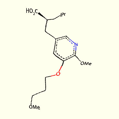 COCCCOc1cc(C[C@@H](C(=O)O)C(C)C)cnc1OC